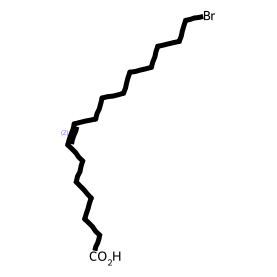 O=C(O)CCCCC/C=C\CCCCCCCCBr